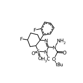 CN1C(N(N)C(=O)OC(C)(C)C)=NC2(c3ccccc3F)CCC(F)CC2S1(=O)=O